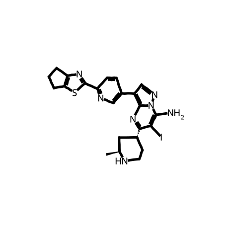 C[C@H]1C[C@H](c2nc3c(-c4ccc(-c5nc6c(s5)CCC6)nc4)cnn3c(N)c2I)CCN1